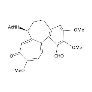 COc1cc2c(c(C=O)c1OC)-c1ccc(OC)c(=O)cc1[C@@H](NC(C)=O)CC2